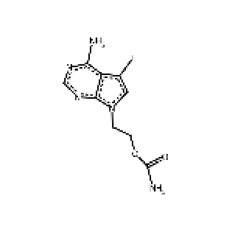 NC(=O)OCCn1cc(I)c2c(N)ncnc21